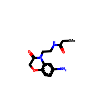 CC(=O)OCC(=O)NCCN1C(=O)COc2ccc(N)cc21